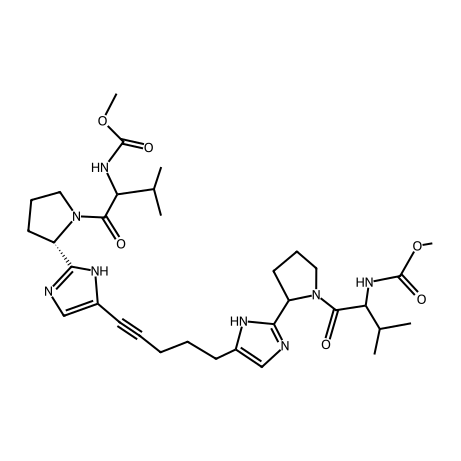 COC(=O)NC(C(=O)N1CCCC1c1ncc(CCCC#Cc2cnc([C@@H]3CCCN3C(=O)C(NC(=O)OC)C(C)C)[nH]2)[nH]1)C(C)C